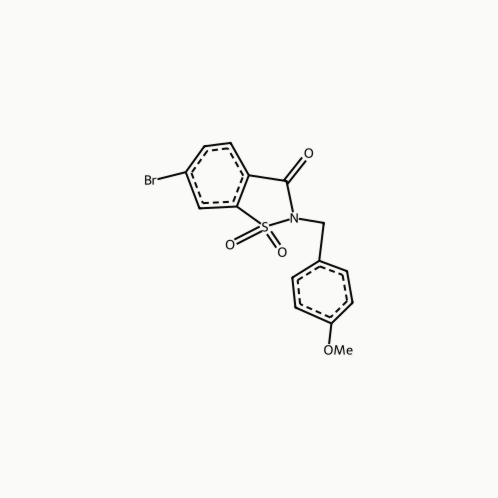 COc1ccc(CN2C(=O)c3ccc(Br)cc3S2(=O)=O)cc1